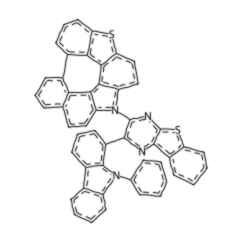 c1ccc(-n2c3ccccc3c3cccc(-c4nc5c(nc4-n4c6ccc7cccc8c7c6c6c7c(ccc64)sc4cccc-8c47)sc4ccccc45)c32)cc1